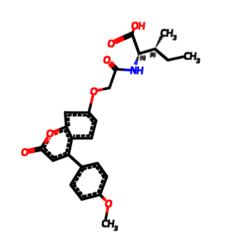 CC[C@@H](C)[C@H](NC(=O)COc1ccc2c(-c3ccc(OC)cc3)cc(=O)oc2c1)C(=O)O